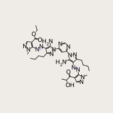 CCCCc1nn(-c2cc(-n3nc(CCCC)c(/N=N/c4c(C(=O)C(C)O)cnn4C)c3N)ncn2)c(N)c1/N=N/c1c(C(=O)OCC)cnn1C